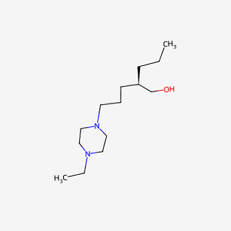 CCC[C@@H](CO)CCCN1CCN(CC)CC1